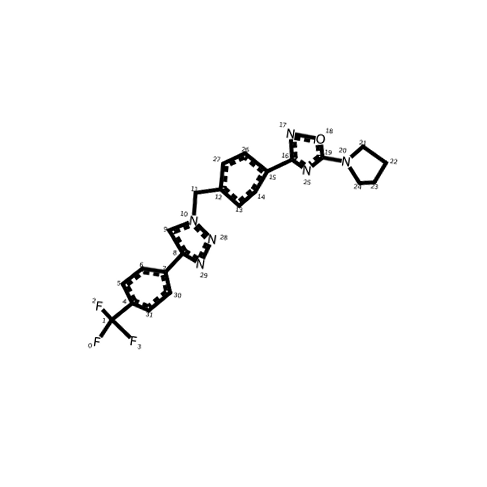 FC(F)(F)c1ccc(-c2cn(Cc3ccc(-c4noc(N5CCCC5)n4)cc3)nn2)cc1